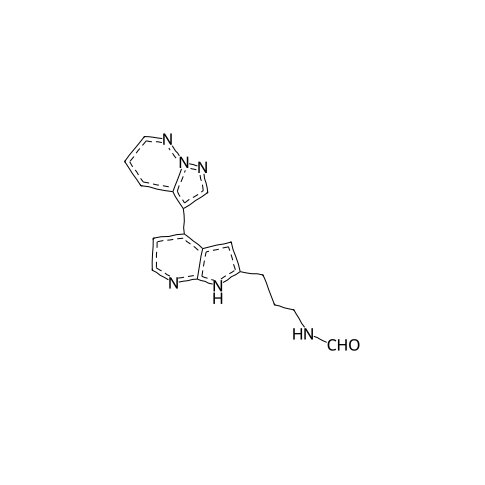 O=CNCCCc1cc2c(-c3cnn4ncccc34)ccnc2[nH]1